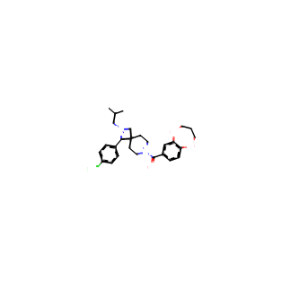 CC(C)CN1CC2(CCN(C(=O)c3ccc4c(c3)OCCCO4)CC2)C1c1ccc(Cl)cc1